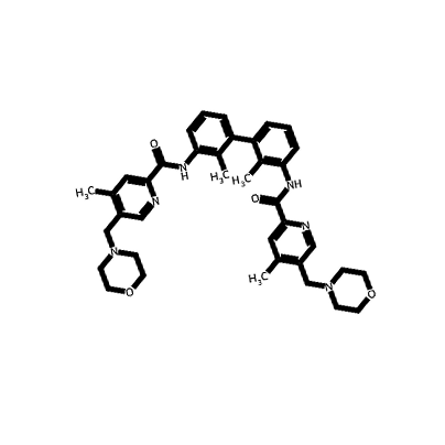 Cc1cc(C(=O)Nc2cccc(-c3cccc(NC(=O)c4cc(C)c(CN5CCOCC5)cn4)c3C)c2C)ncc1CN1CCOCC1